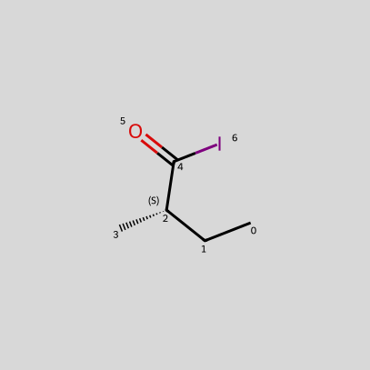 CC[C@H](C)C(=O)I